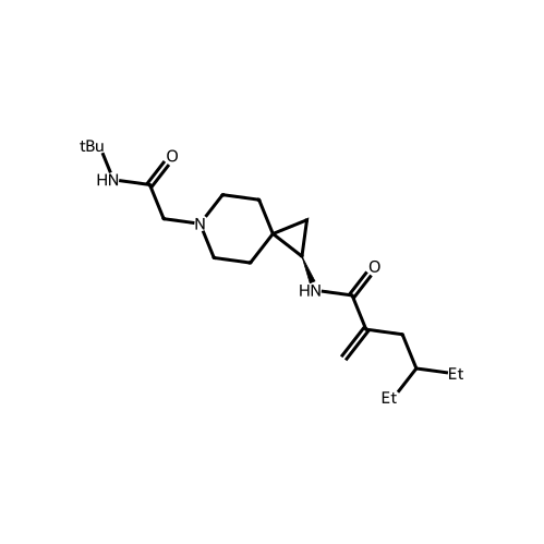 C=C(CC(CC)CC)C(=O)N[C@@H]1CC12CCN(CC(=O)NC(C)(C)C)CC2